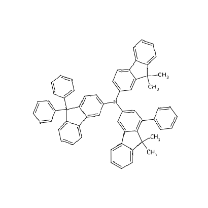 CC1(C)c2ccccc2-c2ccc(N(c3ccc4c(c3)-c3ccccc3C4(c3ccccc3)c3ccccc3)c3cc(-c4ccccc4)c4c(c3)-c3ccccc3C4(C)C)cc21